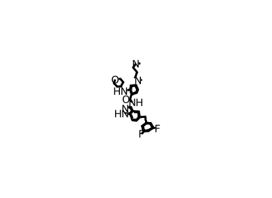 CN(C)CCCN(C)c1ccc(C(=O)Nc2n[nH]c3ccc(Cc4cc(F)cc(F)c4)cc23)c(NC2CCOCC2)c1